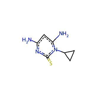 Nc1cc(N)n(C2CC2)c(=S)n1